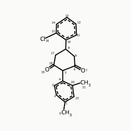 Cc1ccc(C2C(=O)CC(c3ccccc3Cl)CC2=O)c(C)c1